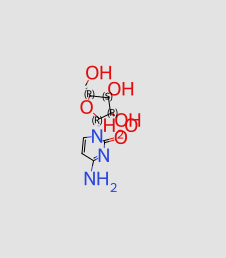 Nc1ccn([C@@H]2O[C@H](CO)[C@@H](O)[C@H]2O)c(=O)n1.O